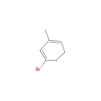 CC1=CC[CH]C(Br)=C1